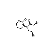 O=C(CBr)N(CCBr)N1CCCO[PH]1=O